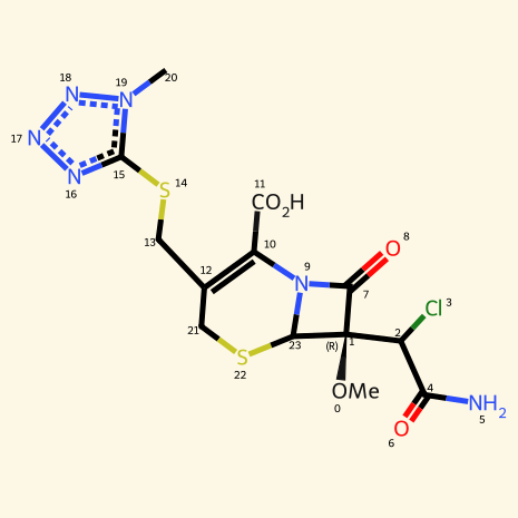 CO[C@]1(C(Cl)C(N)=O)C(=O)N2C(C(=O)O)=C(CSc3nnnn3C)CSC21